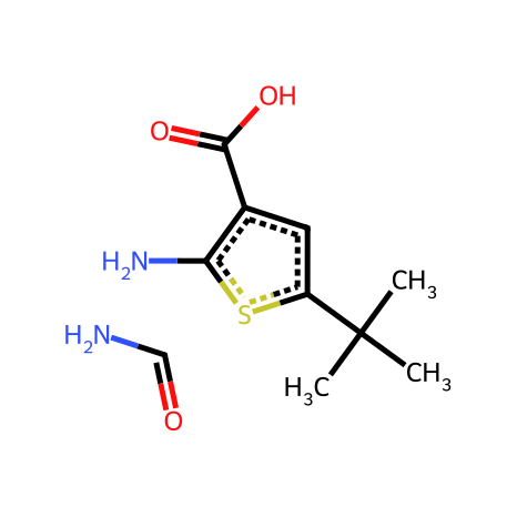 CC(C)(C)c1cc(C(=O)O)c(N)s1.NC=O